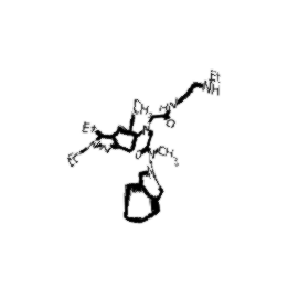 CCNCCNC(=O)CN(CC(=O)N(C)N1Cc2ccccc2C1)c1cc2nn(CC)c(CC)c2cc1C